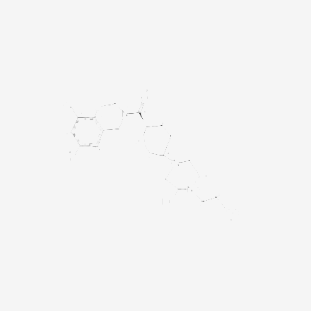 CC1CN(C2CC[C@H](C(=O)N3COc4c(Cl)cc(C(F)(F)F)cc4C3)OC2)CCN1CCC(=O)O